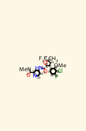 CNC(=O)c1cc(NC(=O)[C@@H]2O[C@](C)(C(F)(F)F)C[C@@H]2c2ccc(F)c(Cl)c2OC)ccn1